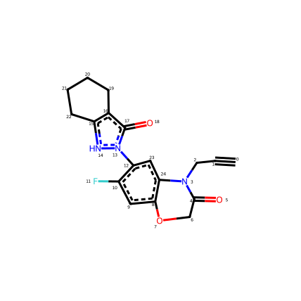 C#CCN1C(=O)COc2cc(F)c(-n3[nH]c4c(c3=O)CCCC4)cc21